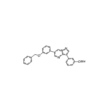 COc1cccc(-c2cnn3cc(-c4cccc(OCc5ccccc5)c4)cnc23)c1